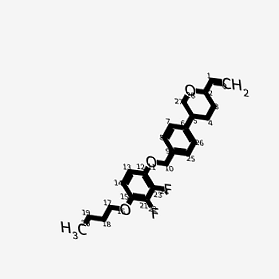 C=CC1CCC(c2ccc(COc3ccc(OCCCC)c(F)c3F)cc2)CO1